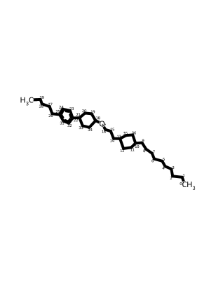 CCCCCCCCCCC1CCC(CCCOC2CCC(c3ccc(CCCCC)cc3)CC2)CC1